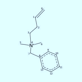 C=CCC[N+](C)(C)Cc1ccccc1